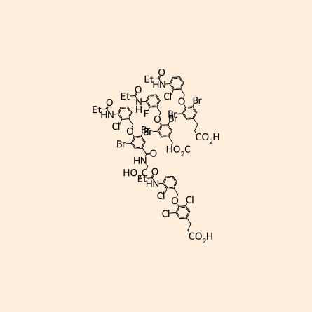 CCC(=O)Nc1cccc(COc2c(Br)cc(C(=O)NCC(=O)O)cc2Br)c1Cl.CCC(=O)Nc1cccc(COc2c(Br)cc(CC(=O)O)cc2Br)c1F.CCC(=O)Nc1cccc(COc2c(Br)cc(CCC(=O)O)cc2Br)c1Cl.CCC(=O)Nc1cccc(COc2c(Cl)cc(CCC(=O)O)cc2Cl)c1Cl